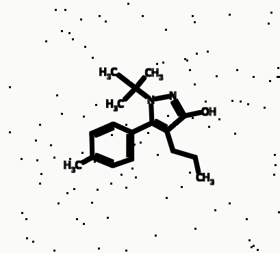 CCCc1c(O)nn(C(C)(C)C)c1-c1ccc(C)cc1